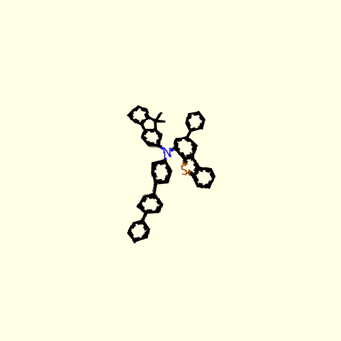 CC1(C)c2ccccc2-c2ccc(N(c3ccc(-c4ccc(-c5ccccc5)cc4)cc3)c3cc(-c4ccccc4)cc4c3sc3ccccc34)cc21